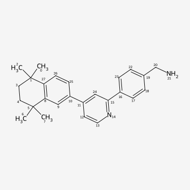 CC1(C)CCC(C)(C)c2cc(-c3ccnc(-c4ccc(CN)cc4)c3)ccc21